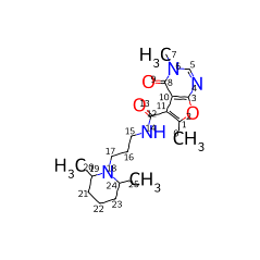 Cc1oc2ncn(C)c(=O)c2c1C(=O)NCCCN1C(C)CCCC1C